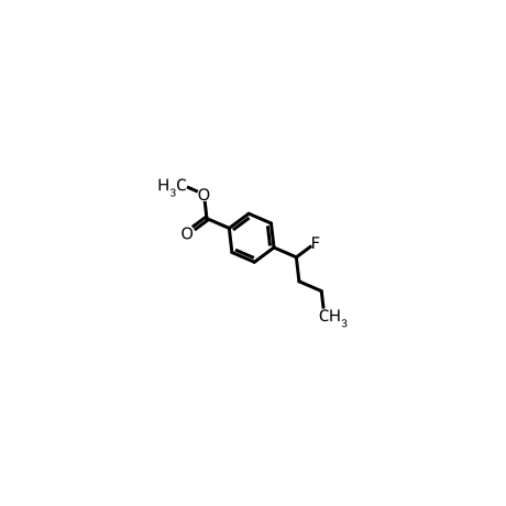 CCCC(F)c1ccc(C(=O)OC)cc1